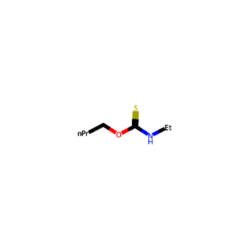 CCCCOC(=S)NCC